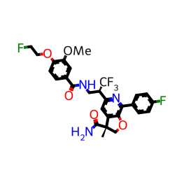 COc1cc(C(=O)NC[C@H](c2cc3c(c(-c4ccc(F)cc4)n2)OC[C@]3(C)C(N)=O)C(F)(F)F)ccc1OCCF